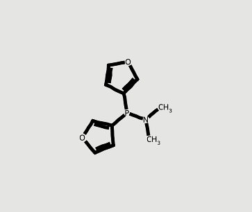 CN(C)P(c1ccoc1)c1ccoc1